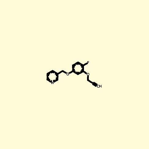 C#CCOc1cc(OCc2cccnc2)ccc1F